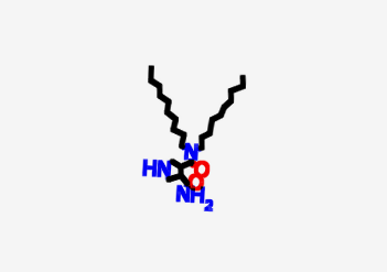 CCCCCCCCCCN(CCCCCCCCCC)C(=O)C1CNCC1C(N)=O